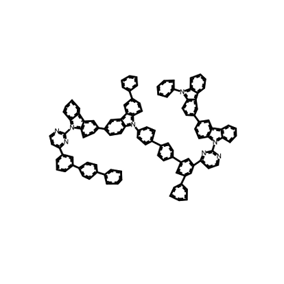 c1ccc(-c2ccc(-c3cccc(-c4ccnc(-n5c6ccccc6c6cc(-c7ccc8c(c7)c7cc(-c9ccccc9)ccc7n8-c7ccc(-c8ccc(-c9cc(-c%10ccccc%10)cc(-c%10ccnc(-n%11c%12ccccc%12c%12cc(-c%13ccc%14c(c%13)c%13ccccc%13n%14-c%13ccccc%13)ccc%12%11)n%10)c9)cc8)cc7)ccc65)n4)c3)cc2)cc1